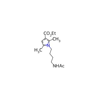 CCOC(=O)c1cc(C)n(CCCCNC(C)=O)c1C